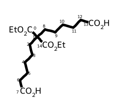 CCOC(=O)C(CCCCCC(=O)O)(CCCCCC(=O)O)C(=O)OCC